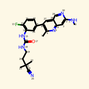 CNc1cc2nc(C)c(-c3ccc(F)c(NC(=O)NCCC(C)(C)C#N)c3)cc2cn1